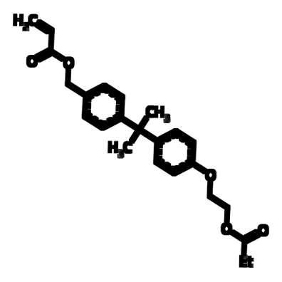 C=CC(=O)OCc1ccc(C(C)(C)c2ccc(OCCOC(=O)CC)cc2)cc1